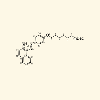 CCCCCCCCCCCCCCCCOc1ccc(/N=N/c2c(N)ccc3ccccc23)cc1